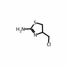 NC1=NC(CCl)CS1